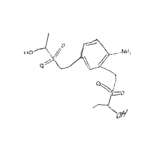 CC(O)S(=O)(=O)Cc1ccc(N)c(CS(=O)(=O)C(C)O)c1